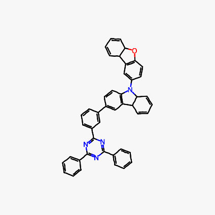 C1=CC2Oc3ccc(N4c5ccc(-c6cccc(-c7nc(-c8ccccc8)nc(-c8ccccc8)n7)c6)cc5C5C=CC=CC54)cc3C2C=C1